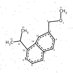 COCc1ccc2ccnc(C(C)C)c2c1